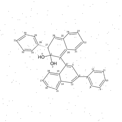 OC1(O)C(c2cc(-c3ccccc3)cc3ccccc23)=c2ccccc2=C[C@H]1c1ccccc1